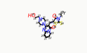 CC(C)CN1C(=O)/C(=C/c2c(N3CCN(CCO)CC3)nc3ccccn3c2=O)SC1=S